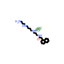 Cl.Cl.Cl.NCCCNCCCCNCCCNC(=O)Cc1cccc2ccccc12